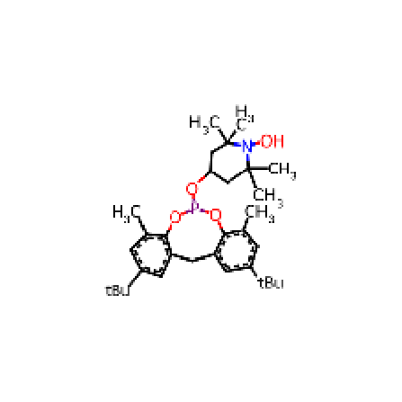 Cc1cc(C(C)(C)C)cc2c1OP(OC1CC(C)(C)N(O)C(C)(C)C1)Oc1c(C)cc(C(C)(C)C)cc1C2